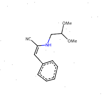 COC(CNC(C#N)=Cc1ccccc1)OC